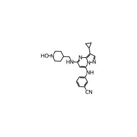 N#Cc1cccc(Nc2cc(NCC3CCN(O)CC3)nc3c(C4CC4)cnn23)c1